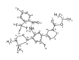 CC(C)OC(=O)N1CCC=C(c2cc(NC(=O)c3ccc(F)cc3C(F)(F)F)c(N3CCN(C)[C@H](C)C3)cc2F)C1